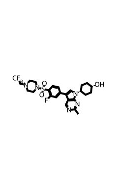 Cc1ncc2c(-c3ccc(S(=O)(=O)N4CCN(CC(F)(F)F)CC4)c(F)c3)cn([C@H]3CC[C@@H](O)CC3)c2n1